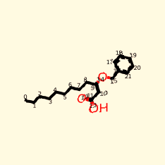 CCCCCCCCCC(CC(=O)O)OCc1ccccc1